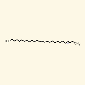 [CH2]C/C=C/CCCCCCCCCCCCCCCCCCCCCC[CH2]